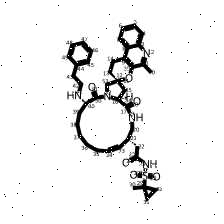 Cc1nc2ccccc2c2c1O[C@]1(CC2)C[C@H]2C(=O)NC[C@H](CC(=O)NS(=O)(=O)C3(C)CC3)/C=C\CCCCC[C@H](NCCc3ccccc3)C(=O)N2C1